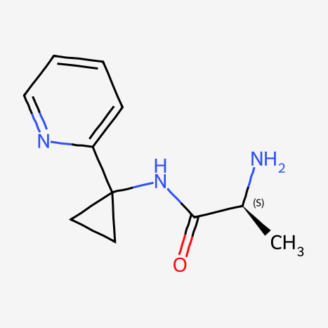 C[C@H](N)C(=O)NC1(c2ccccn2)CC1